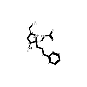 CCC(=O)NC[C@@]1(CCCc2ccccc2)N[C@H](CO)C[C@@H]1O